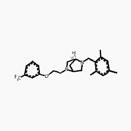 Cc1cc(C)c(CN2CC3C[C@H]2CN3CCOc2c[c]cc(C(F)(F)F)c2)c(C)c1